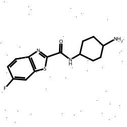 NC1CCC(NC(=O)c2nc3ccc(F)cc3s2)CC1